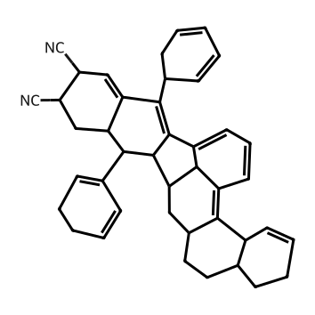 N#CC1C=C2C(C3C=CC=CC3)=C3C4=CC=CC5=C6C(CCC7CCC=CC67)CC(C45)C3C(C3=CCCC=C3)C2CC1C#N